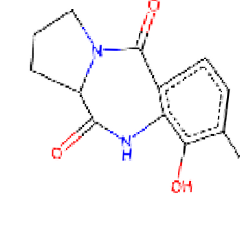 Cc1ccc2c(c1O)NC(=O)C1CCCN1C2=O